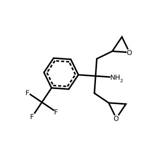 NC(CC1CO1)(CC1CO1)c1cccc(C(F)(F)F)c1